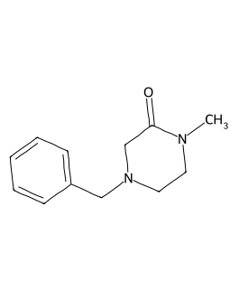 CN1CCN(Cc2ccccc2)CC1=O